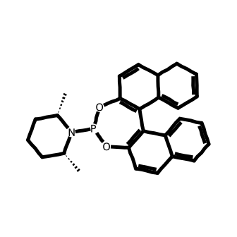 C[C@@H]1CCC[C@H](C)N1p1oc2c(c3c(ccc4ccccc43)o1)C1=CC=CCC1C=C2